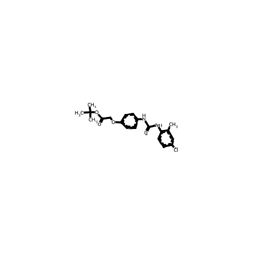 Cc1cc(Cl)ccc1NC(=O)Nc1ccc(OCC(=O)OC(C)(C)C)cc1